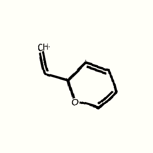 [CH]=CC1[C]=CC=CO1